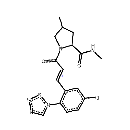 CNC(=O)C1CC(C)CN1C(=O)/C=C/c1cc(Cl)ccc1-n1cnnn1